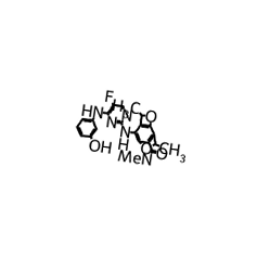 CNC(=O)c1c2c(Nc3ncc(F)c(Nc4cccc(O)c4)n3)c3c(c1C(C)O2)OC3C